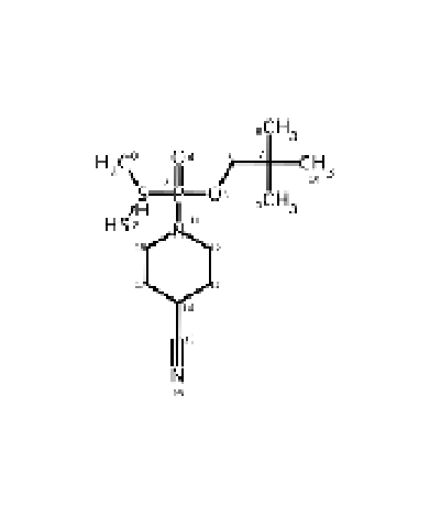 C[SH](S)P(=O)(OCC(C)(C)C)N1CCC(C#N)CC1